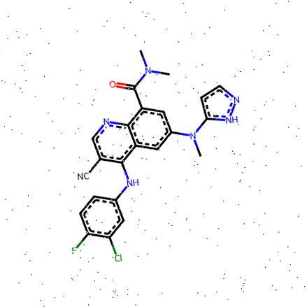 CN(C)C(=O)c1cc(N(C)c2ccn[nH]2)cc2c(Nc3ccc(F)c(Cl)c3)c(C#N)cnc12